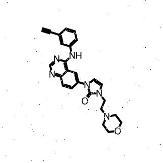 C#Cc1cccc(Nc2ncnc3ccc(-n4ccn(CCN5CCOCC5)c4=O)cc23)c1